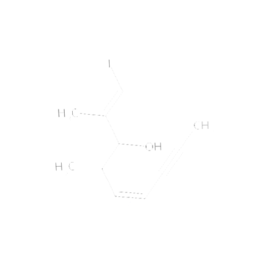 CC#C/C=C\[C@H](C)C(O)/C(C)=C/I